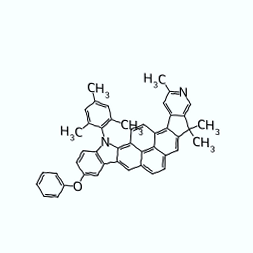 Cc1cc(C)c(-n2c3ccc(Oc4ccccc4)cc3c3cc4ccc5cc6c(c7ccc(c4c57)c32)-c2cc(C)ncc2C6(C)C)c(C)c1